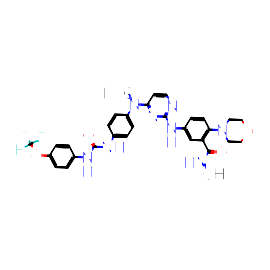 CNC(=O)c1cc(Nc2nccc(N(C)c3ccc(NC(=O)Nc4ccc(OC(F)(F)F)cc4)cc3)n2)ccc1N1CCOCC1